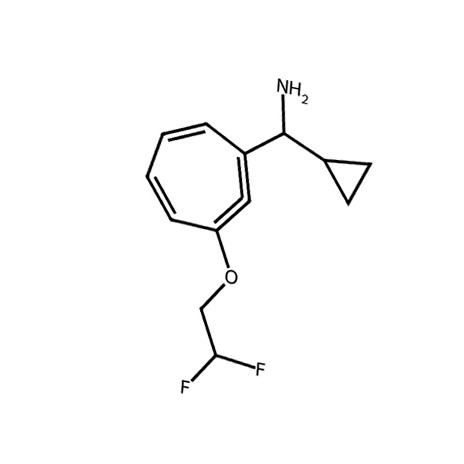 NC(C1=C=C(OCC(F)F)C=CC=C1)C1CC1